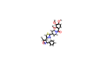 COc1ccc(C(=O)N2CCC(c3nc(-c4c(-c5ccccc5)noc4C)cs3)CC2)c(OC)c1OC